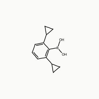 OB(O)c1c(C2CC2)cccc1C1CC1